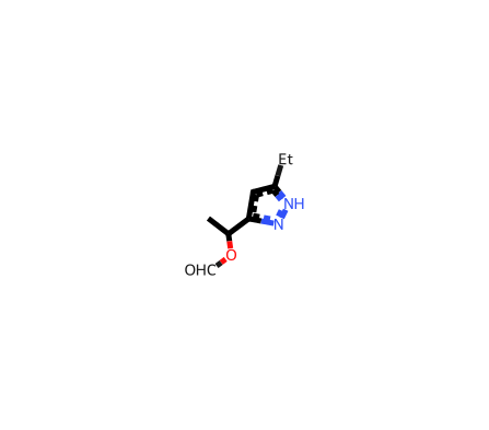 CCc1cc(C(C)OC=O)n[nH]1